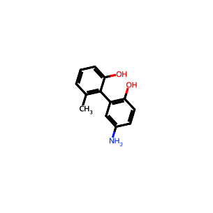 Cc1cccc(O)c1-c1cc(N)ccc1O